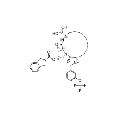 O=C1N[C@H](B(O)O)CCCCCCCCC[C@H](NCc2cccc(OC(F)(F)F)c2)C(=O)N2C[C@H](OC(=O)N3Cc4ccccc4C3)C[C@@H]12